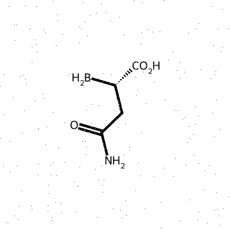 B[C@@H](CC(N)=O)C(=O)O